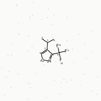 CC(C)c1conc1C(F)(F)F